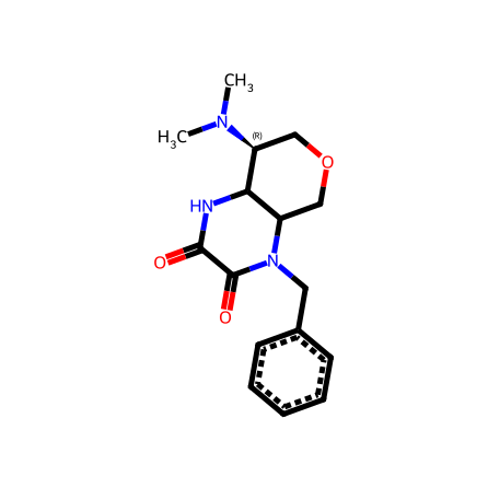 CN(C)[C@H]1COCC2C1NC(=O)C(=O)N2Cc1ccccc1